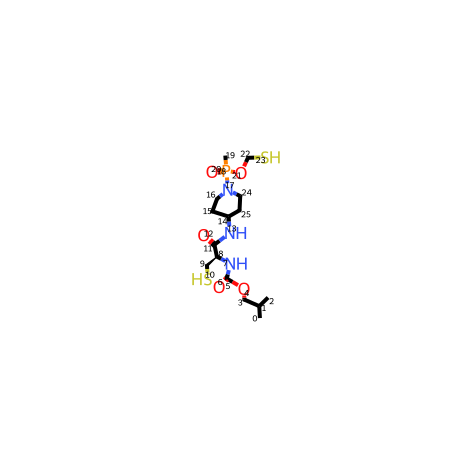 CC(C)COC(=O)N[C@@H](CS)C(=O)NC1CCN(P(C)(=O)OCS)CC1